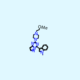 COCCN1CCN(c2nc(-c3cn(C)c4ccccc34)n3nccc3n2)CC1